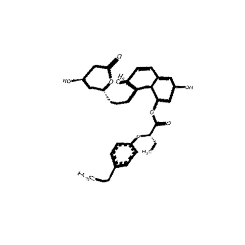 CCc1ccc(O[C@@H](CC)C(=O)OC2CC(O)C=C3C=CC(C)C(CC[C@@H]4C[C@@H](O)CC(=O)O4)C32)cc1